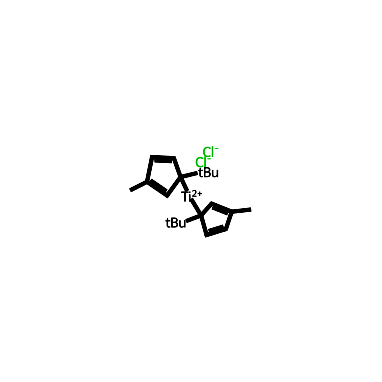 CC1=C[C]([Ti+2][C]2(C(C)(C)C)C=CC(C)=C2)(C(C)(C)C)C=C1.[Cl-].[Cl-]